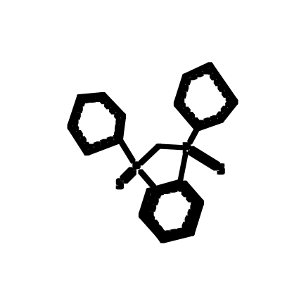 S=P(CP(=S)(c1ccccc1)c1ccccc1)(c1ccccc1)c1ccccc1